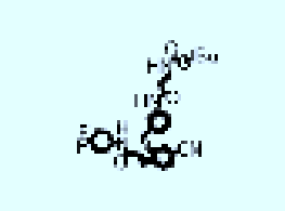 CC(C)(C)OC(=O)NCCC(=O)Nc1cccc(Cn2c(C(=O)NC3CCC(F)(F)CC3)cc3ccc(C#N)cc32)c1